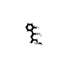 C=C(/C=C(\N)c1ccccc1F)CNC